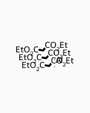 CCOC(=O)CC(=O)OCC.CCOC(=O)CC(=O)OCC.CCOC(=O)CC(=O)OCC.[Al]